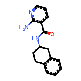 Nc1ncccc1C(=O)N[C@@H]1CCc2ccccc2C1